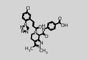 Cc1c2c(nn1C)C(C(=O)Nc1ccc(C(=O)O)cc1)N(C(=O)/C=C/c1cc(Cl)ccc1-n1cnnn1)CC2